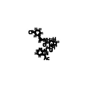 CC(=O)c1nn(CC(=O)N2[C@@H]3CC[C@@H]3C[C@H]2C(=O)NC2CC2c2cccc(Cl)c2)c2ncccc12